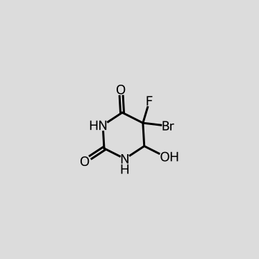 O=C1NC(=O)C(F)(Br)C(O)N1